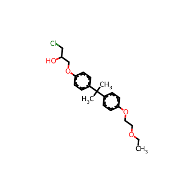 CCOCCOc1ccc(C(C)(C)c2ccc(OCC(O)CCl)cc2)cc1